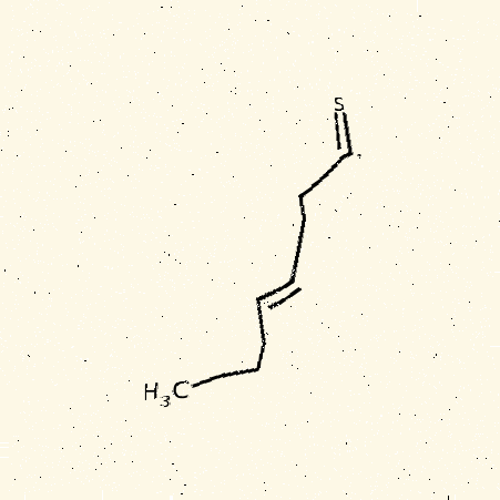 CC/C=C/C[C]=S